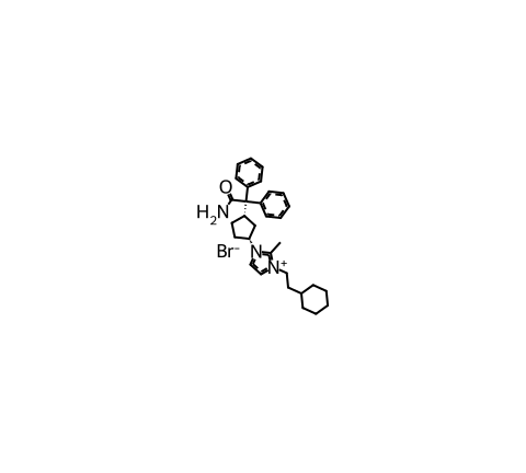 Cc1n([C@@H]2CC[C@H](C(C(N)=O)(c3ccccc3)c3ccccc3)C2)cc[n+]1CCC1CCCCC1.[Br-]